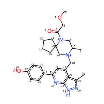 COCC(=O)N1CC(C)N(Cc2cc(-c3ccc(O)cc3)nc3[nH]nc(C)c23)CC12CCCC2